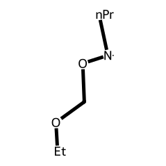 CCC[N]OCOCC